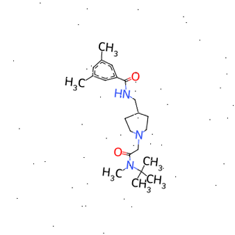 Cc1cc(C)cc(C(=O)NCC2CCN(CC(=O)N(C)C(C)(C)C)CC2)c1